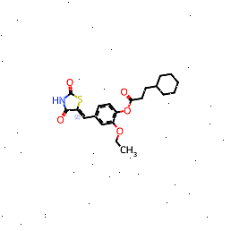 CCOc1cc(/C=C2\SC(=O)NC2=O)ccc1OC(=O)CCC1CCCCC1